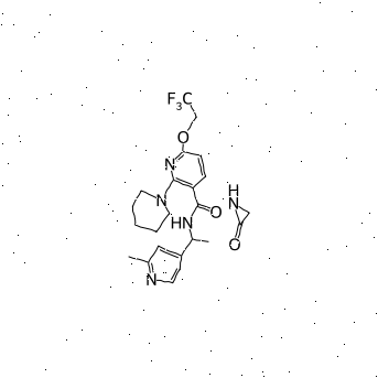 Cc1cc(C(C)NC(=O)c2ccc(OCC(F)(F)F)nc2N2CCCCC2)ccn1.O=C1CN1